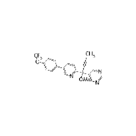 CC#CC(OC)(c1cncnc1)c1ccc(-c2ccc(OC(F)(F)F)cc2)cn1